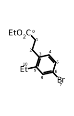 CCOC(=O)CCc1ccc(Br)cc1CC